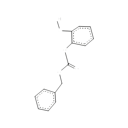 COc1ccccc1OC(=O)OCc1ccccc1